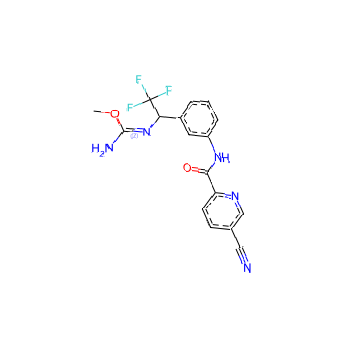 CO/C(N)=N\C(c1cccc(NC(=O)c2ccc(C#N)cn2)c1)C(F)(F)F